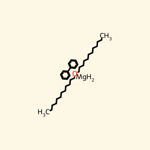 CCCCCCCCCCCCOCCCCCCCCCCCC.[MgH2].c1ccc(-c2ccccc2)cc1